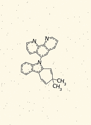 CC1(C)C=Cc2c(n(-c3cc4cccnc4c4ncccc34)c3ccccc23)C=C1